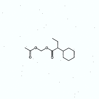 CCC(C(=O)OCOC(C)=O)C1CCCCC1